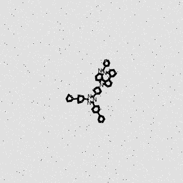 c1ccc(-c2ccc(-c3nc(-c4ccc(-c5ccccc5)cc4)nc(-c4ccc(-n5c6cccc7c8ccccc8n8c(-c9ccccc9)nc9ccc5c(c76)c98)cc4)n3)cc2)cc1